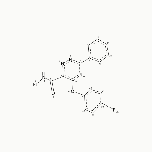 CCNC(=O)c1nnc(-c2ccccc2)nc1Oc1ccc(F)cc1